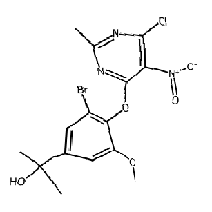 COc1cc(C(C)(C)O)cc(Br)c1Oc1nc(C)nc(Cl)c1[N+](=O)[O-]